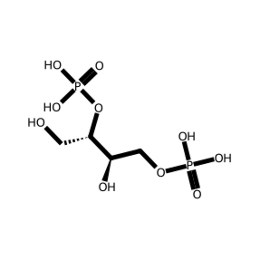 O=P(O)(O)OC[C@@H](O)[C@H](CO)OP(=O)(O)O